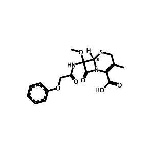 COC1(NC(=O)COc2ccccc2)C(=O)N2C(C(=O)O)=C(C)CS[C@H]21